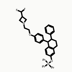 CC(C)[Si](Oc1ccc2c(c1)CCC(c1ccccc1)C2c1ccc(OCCN2CC(C(F)F)C2)cc1)(C(C)C)C(C)C